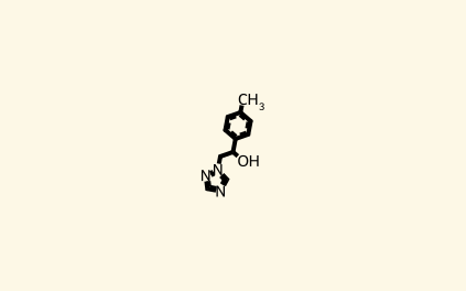 Cc1ccc(C(O)Cn2cncn2)cc1